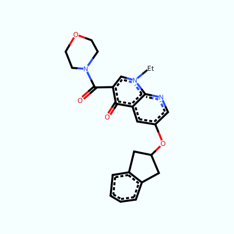 CCn1cc(C(=O)N2CCOCC2)c(=O)c2cc(OC3Cc4ccccc4C3)cnc21